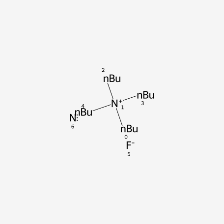 CCCC[N+](CCCC)(CCCC)CCCC.[F-].[N]